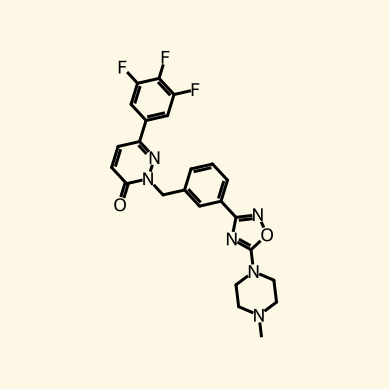 CN1CCN(c2nc(-c3cccc(Cn4nc(-c5cc(F)c(F)c(F)c5)ccc4=O)c3)no2)CC1